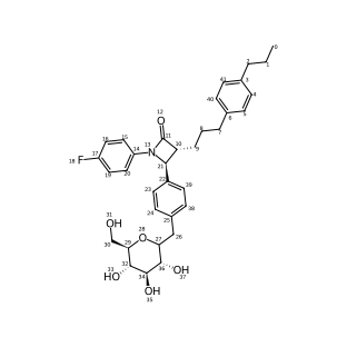 CCCc1ccc(CCC[C@H]2C(=O)N(c3ccc(F)cc3)[C@@H]2c2ccc(CC3O[C@H](CO)[C@@H](O)[C@H](O)[C@H]3O)cc2)cc1